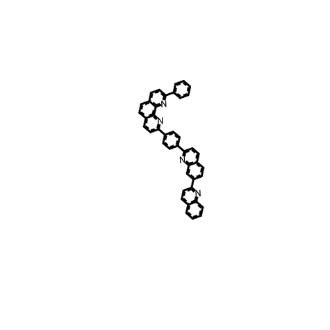 c1ccc(-c2ccc3ccc4ccc(-c5ccc(-c6ccc7ccc(-c8ccc9ccccc9n8)cc7n6)cc5)nc4c3n2)cc1